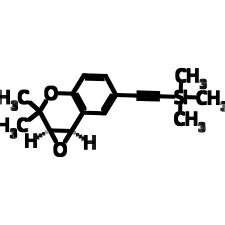 CC1(C)Oc2ccc(C#C[Si](C)(C)C)cc2[C@H]2O[C@H]21